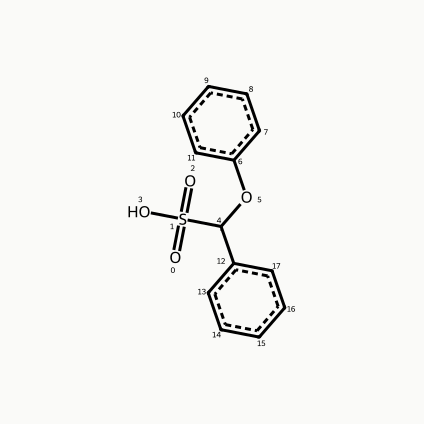 O=S(=O)(O)[C](Oc1ccccc1)c1ccccc1